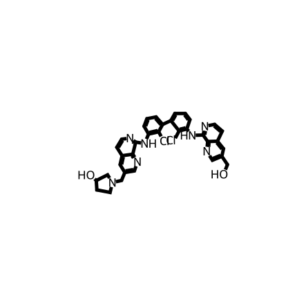 OCc1cnc2c(Nc3cccc(-c4cccc(Nc5nccc6cc(CN7CCC(O)C7)cnc56)c4Cl)c3Cl)nccc2c1